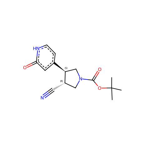 CC(C)(C)OC(=O)N1C[C@H](c2cc[nH]c(=O)c2)[C@@H](C#N)C1